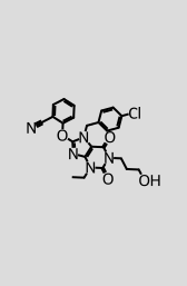 CCn1c(=O)n(CCCO)c(=O)c2c1nc(Oc1ccccc1C#N)n2Cc1ccc(Cl)cc1